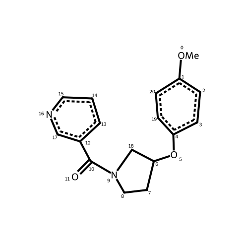 COc1ccc(OC2CCN(C(=O)c3cccnc3)C2)cc1